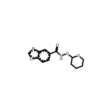 O=C(NOC1CCCCO1)c1ccc2ocnc2c1